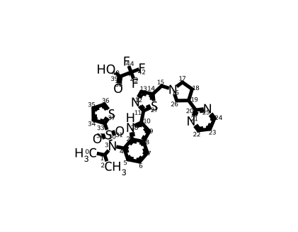 CC(C)N(c1cccc2cc(-c3ncc(CN4CCC(c5ncccn5)C4)s3)[nH]c12)S(=O)(=O)c1cccs1.O=C(O)C(F)(F)F